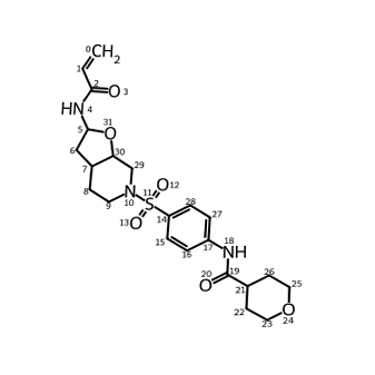 C=CC(=O)NC1CC2CCN(S(=O)(=O)c3ccc(NC(=O)C4CCOCC4)cc3)CC2O1